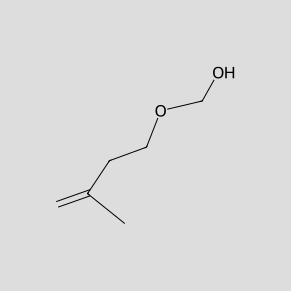 C=C(C)CCOCO